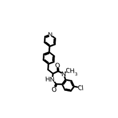 CN1C(=O)C(Cc2ccc(-c3ccncc3)cc2)NC(=O)c2ccc(Cl)cc21